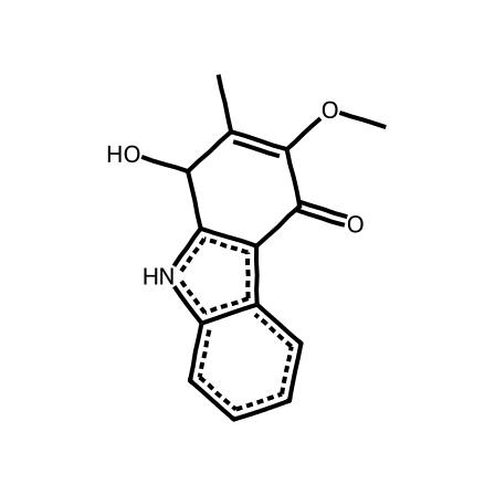 COC1=C(C)C(O)c2[nH]c3ccccc3c2C1=O